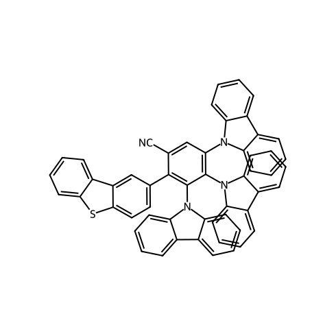 N#Cc1cc(-n2c3ccccc3c3ccccc32)c(-n2c3ccccc3c3ccccc32)c(-n2c3ccccc3c3ccccc32)c1-c1ccc2sc3ccccc3c2c1